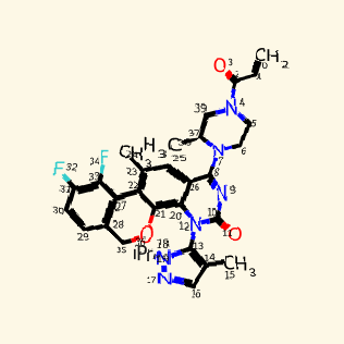 C=CC(=O)N1CCN(c2nc(=O)n(-c3c(C)cnn3C(C)C)c3c4c(c(C)cc23)-c2c(ccc(F)c2F)CO4)[C@@H](C)C1